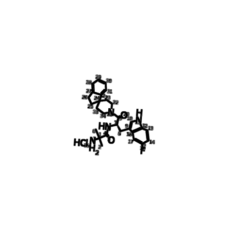 CC(C)(N)C(=O)N[C@H](Cc1c[nH]c2ccc(F)cc12)C(=O)N1CCC2(CCc3ccccc32)CC1.Cl